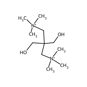 C[N+](C)(C)CC(CO)(CO)C[N+](C)(C)C